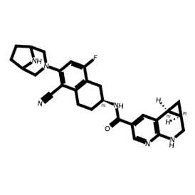 N#Cc1c(N2CC3CCC(C2)N3)cc(F)c2c1CC[C@H](NC(=O)c1cnc3c(c1)[C@H]1C[C@H]1CN3)C2